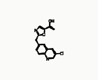 C=C(O)c1cnc(Cc2ccc3ncc(Cl)cc3c2)o1